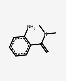 C=C(c1ccccc1N)N(C)C